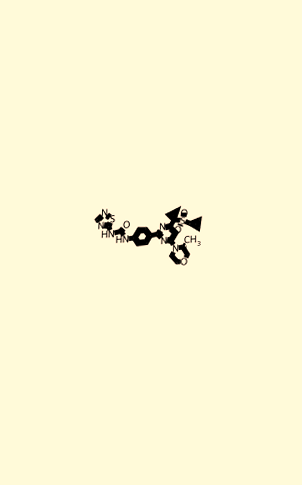 C[C@H]1COCCN1c1cc(C2(S(=O)(=O)C3CC3)CC2)nc(-c2ccc(NC(=O)Nc3ncns3)cc2)n1